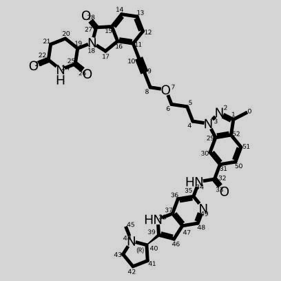 Cc1nn(CCCOCC#Cc2cccc3c2CN(C2CCC(=O)NC2=O)C3=O)c2cc(C(=O)Nc3cc4[nH]c([C@H]5CCCN5C)cc4cn3)ccc12